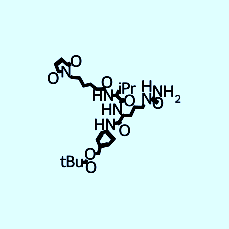 CC(C)C(NC(=O)CCCCCN1C(=O)C=CC1=O)C(=O)NC(CCCNC(N)=O)C(=O)Nc1ccc(COC(=O)C(C)(C)C)cc1